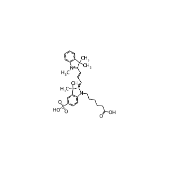 C[N+]1=C(/C=C/C=C2/N(CCCCCC(=O)O)c3ccc(S(=O)(=O)O)cc3C2(C)C)C(C)(C)c2ccccc21